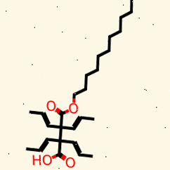 CC=CC(C=CC)(C(=O)O)C(C=CC)(C=CC)C(=O)OCCCCCCCCCCCC